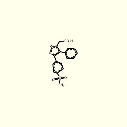 CS(=O)(=O)c1ccc(-c2noc(CC(=O)O)c2-c2ccccc2)cc1